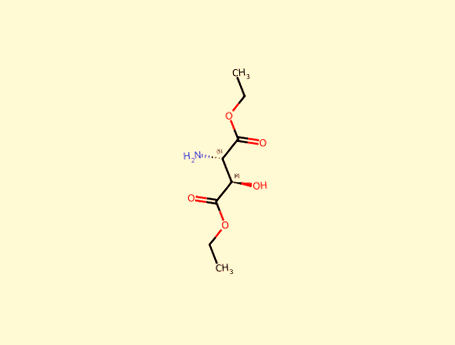 CCOC(=O)[C@@H](N)[C@@H](O)C(=O)OCC